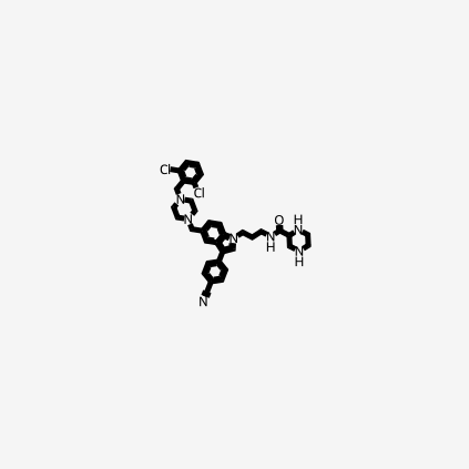 N#Cc1ccc(-c2cn(CCCNC(=O)C3CNCCN3)c3ccc(CN4CCN(Cc5c(Cl)cccc5Cl)CC4)cc23)cc1